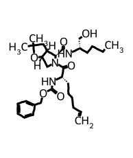 C=CCCCC[C@H](NC(=O)OCc1ccccc1)C(=O)N1C[C@@H]2OC(C)(C)C[C@@H]2[C@H]1C(=O)N[C@H](CO)CCCC